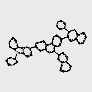 c1ccc(-c2cc3ccccc3cc2-c2ccc3c(c2)c(-c2ccc4ccccc4c2)cc2cc(-c4ccc5c(c4)c4ccccc4n5-c4ccccc4)ccc23)cc1